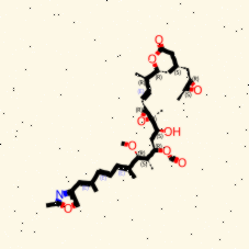 CO[C@@H](/C(C)=C/C=C/C(C)=C/c1coc(C)n1)[C@@H](C)[C@@H](C[C@H](O)[C@@]1(C)O[C@@H]1/C=C/[C@@H](C)[C@H]1C[C@@H](C[C@H]2O[C@H]2C)CC(=O)O1)OC=O